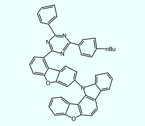 CCCCc1ccc(-c2nc(-c3ccccc3)nc(-c3cccc4oc5cc(-n6c7ccccc7c7ccc8oc9ccccc9c8c76)ccc5c34)n2)cc1